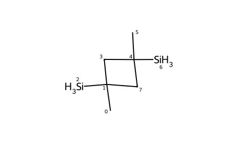 CC1([SiH3])CC(C)([SiH3])C1